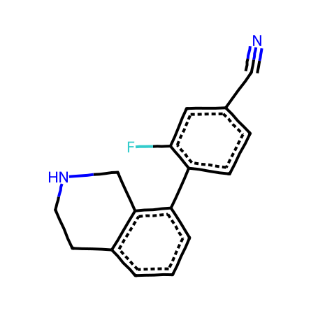 N#Cc1ccc(-c2cccc3c2CNCC3)c(F)c1